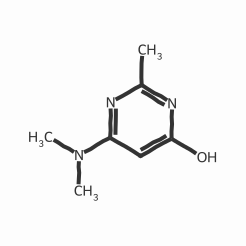 Cc1nc(O)cc(N(C)C)n1